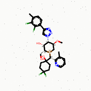 CO[C@H]1C[SH]([C@H](c2ncccc2C)C2(O)CCC(F)(F)CC2)[C@H](CO)[C@H](O)[C@@H]1n1cc(-c2ccc(C)c(F)c2F)nn1